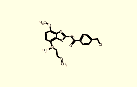 COCCN(C)c1ccc(OC)c2nc(NC(=O)c3ccc(CCl)cc3)sc12